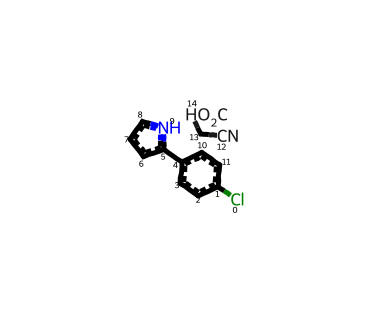 Clc1ccc(-c2ccc[nH]2)cc1.N#CCC(=O)O